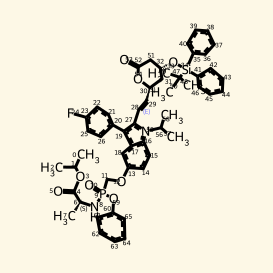 CC(C)OC(=O)[C@H](C)NP(=O)(COc1ccc2c(c1)c(-c1ccc(F)cc1)c(/C=C/[C@@H]1C[C@@H](O[Si](c3ccccc3)(c3ccccc3)C(C)(C)C)CC(=O)O1)n2C(C)C)Oc1ccccc1